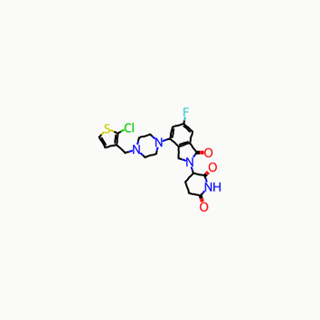 O=C1CCC(N2Cc3c(cc(F)cc3N3CCN(Cc4ccsc4Cl)CC3)C2=O)C(=O)N1